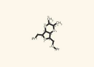 CC(C)CC1OC(COC(C)C)C2OC(C)C(C)OC12